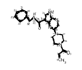 C=CC(=O)N1CCN(c2cnc3[nH]cc(C(=O)NCc4ccccc4)c3n2)CC1